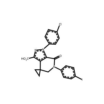 O=C(O)c1nn(-c2ccc(Cl)cc2)c2c1C1(CC1)CN(c1ccc(I)cc1)C2=O